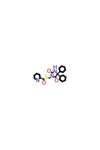 O=C(SCN1C(=O)NC(c2ccccc2)(c2ccccc2)C1=O)c1ccccn1